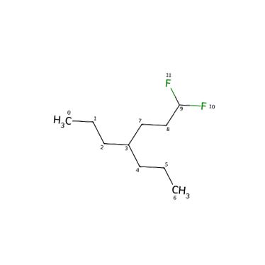 CCCC(CCC)CCC(F)F